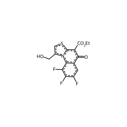 CCOC(=O)c1c(=O)c2cc(F)c(F)c(F)c2n2c(CO)csc12